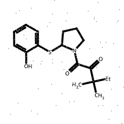 CCC(C)(C)C(=O)C(=O)N1CCCC1Sc1ccccc1O